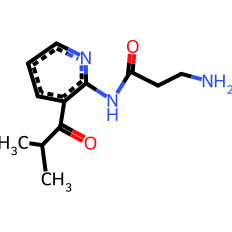 CC(C)C(=O)c1cccnc1NC(=O)CCN